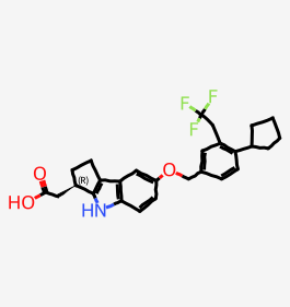 O=C(O)C[C@H]1CCc2c1[nH]c1ccc(OCc3ccc(C4CCCC4)c(CC(F)(F)F)c3)cc21